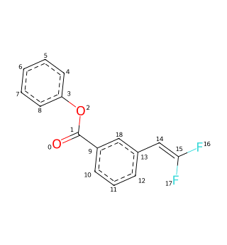 O=C(Oc1ccccc1)c1cccc(C=C(F)F)c1